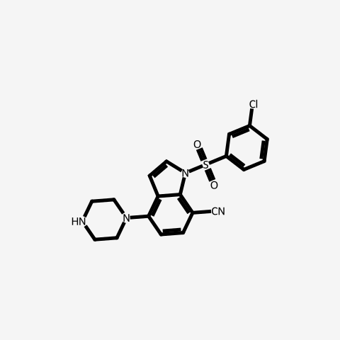 N#Cc1ccc(N2CCNCC2)c2ccn(S(=O)(=O)c3cccc(Cl)c3)c12